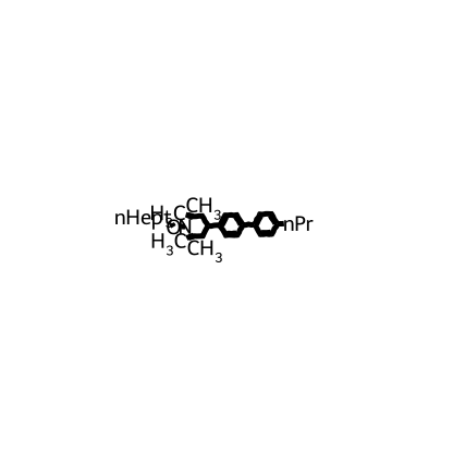 CCCCCCCON1C(C)(C)CC(c2ccc(-c3ccc(CCC)cc3)cc2)CC1(C)C